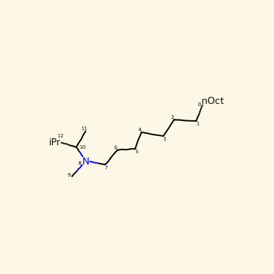 CCCCCCCCCCCCCCCN(C)C(C)C(C)C